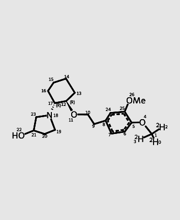 [2H]C([2H])([2H])Oc1ccc(CCO[C@@H]2CCCC[C@H]2N2CCC(O)C2)cc1OC